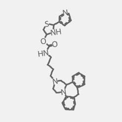 O=C(NCCCCN1CCN2c3ccccc3Cc3ccccc3C2C1)OC1CSC(c2cccnc2)N1